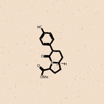 COC(=O)C1CC[C@@H]2CCC(c3ccc(C#N)cc3)C(=O)N12